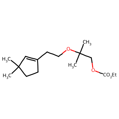 CCOC(=O)OCC(C)(C)OCCC1=CC(C)(C)CC1